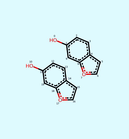 Oc1ccc2ccoc2c1.Oc1ccc2ccoc2c1